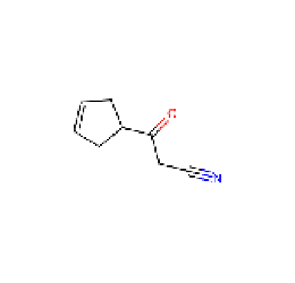 N#CCC(=O)C1CC=CC1